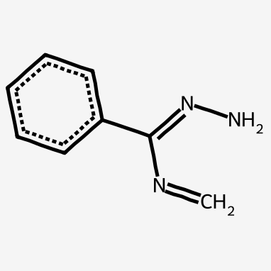 C=N/C(=N\N)c1ccccc1